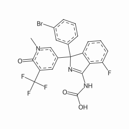 Cn1cc(C2(c3cccc(Br)c3)N=C(NC(=O)O)c3c(F)cccc32)cc(C(F)(F)F)c1=O